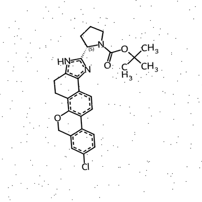 CC(C)(C)OC(=O)N1CCC[C@H]1c1nc2c([nH]1)CCc1c-2ccc2c1OCc1cc(Cl)ccc1-2